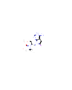 C=C[C@@H](Cn1c(I)cc2c(N)ncnc21)N(C(=O)O)C(C)(C)C